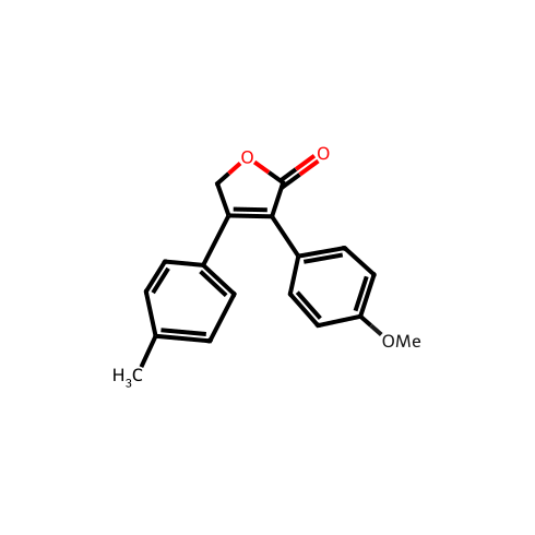 COc1ccc(C2=C(c3ccc(C)cc3)COC2=O)cc1